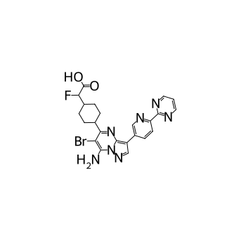 Nc1c(Br)c(C2CCC(C(F)C(=O)O)CC2)nc2c(-c3ccc(-c4ncccn4)nc3)cnn12